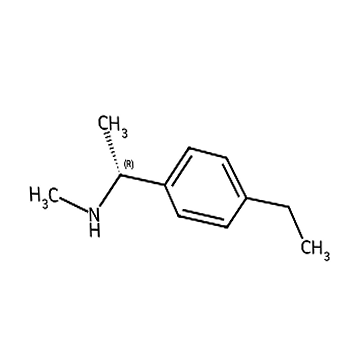 CCc1ccc([C@@H](C)NC)cc1